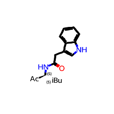 CC[C@H](C)[C@H](NC(=O)Cc1c[nH]c2ccccc12)C(C)=O